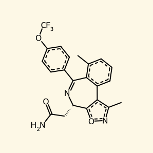 Cc1cccc2c1C(c1ccc(OC(F)(F)F)cc1)=N[C@@H](CC(N)=O)c1onc(C)c1-2